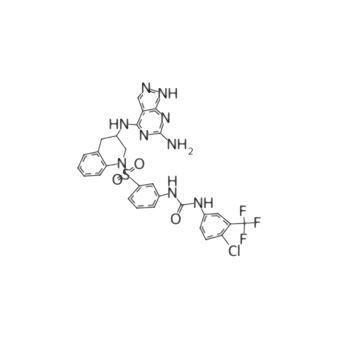 Nc1nc(NC2Cc3ccccc3N(S(=O)(=O)c3cccc(NC(=O)Nc4ccc(Cl)c(C(F)(F)F)c4)c3)C2)c2cn[nH]c2n1